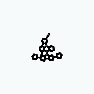 N#Cc1ccc2c3ccc(C#N)c4c3n(c2c1)-c1ccccc1B4n1c2cc(-c3ccccc3)ccc2c2ccc(-c3ccccc3)cc21